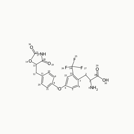 NC(Cc1ccc(Oc2ccc(CC3OC(=O)NC3=O)cc2)cc1C(F)(F)F)C(=O)O